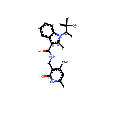 COc1cc(C)[nH]c(=O)c1CNC(=O)c1c(C)n(C(C)C(C)(C)OC)c2ccccc12